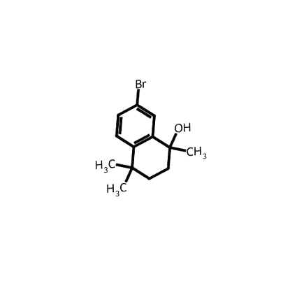 CC1(C)CCC(C)(O)c2cc(Br)ccc21